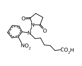 O=C(O)CCCCCN(c1ccccc1[N+](=O)[O-])N1C(=O)CCC1=O